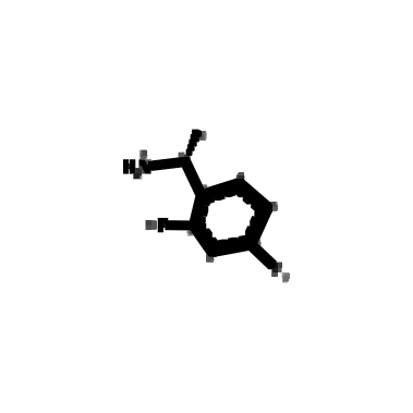 C[C@@H](N)c1ccc(F)cc1F